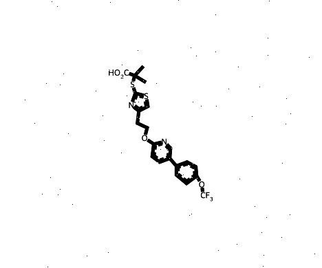 CC(C)(Sc1nc(CCOc2ccc(-c3ccc(OC(F)(F)F)cc3)cn2)cs1)C(=O)O